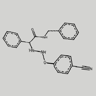 N#Cc1ccc(ONNC(C(=O)NCc2ccccc2)c2ccccc2)cc1